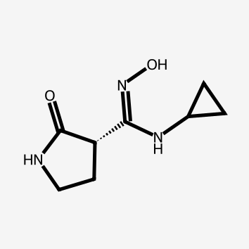 O=C1NCC[C@H]1C(=NO)NC1CC1